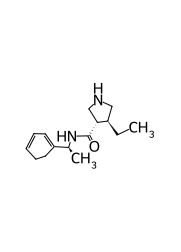 CC[C@@H]1CNC[C@H]1C(=O)N[C@@H](C)C1=CC=CCC1